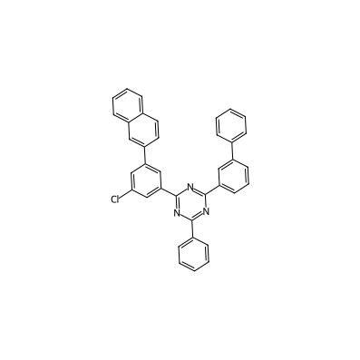 Clc1cc(-c2ccc3ccccc3c2)cc(-c2nc(-c3ccccc3)nc(-c3cccc(-c4ccccc4)c3)n2)c1